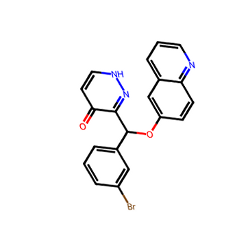 O=c1cc[nH]nc1C(Oc1ccc2ncccc2c1)c1cccc(Br)c1